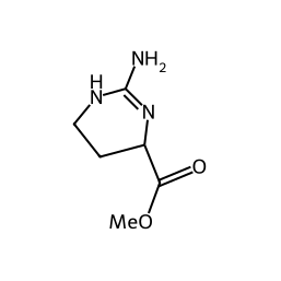 COC(=O)C1CCNC(N)=N1